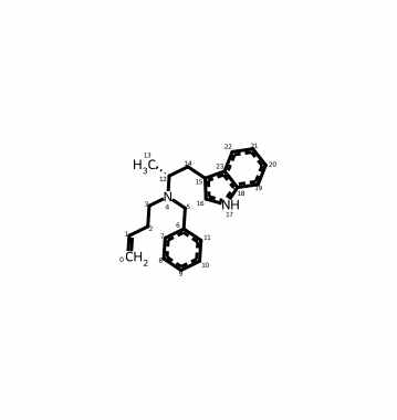 C=CCCN(Cc1ccccc1)[C@H](C)Cc1c[nH]c2ccccc12